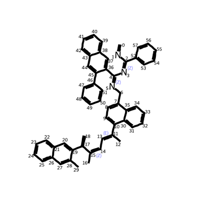 C=N/C(=N\C(=N/Cc1ccc(/C(C)=C/C=C(/C)C(=C)c2cc3ccccc3cc2C)c2ccccc12)c1cc2ccccc2cc1-c1ccccc1)c1ccccc1